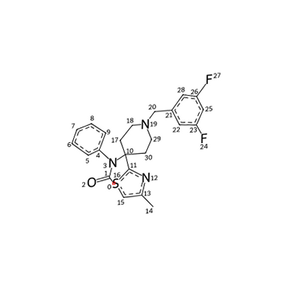 CC(=O)N(c1ccccc1)C1(c2nc(C)cs2)CCN(Cc2cc(F)cc(F)c2)CC1